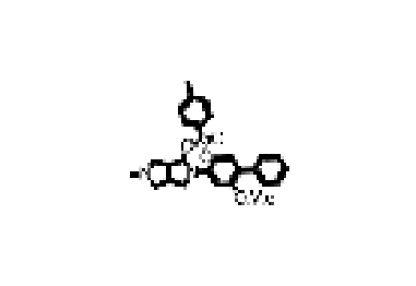 COc1cc(N2CC3CN(C)CC3C2OS(=O)(=O)c2ccc(C)cc2)ccc1-c1ccccc1